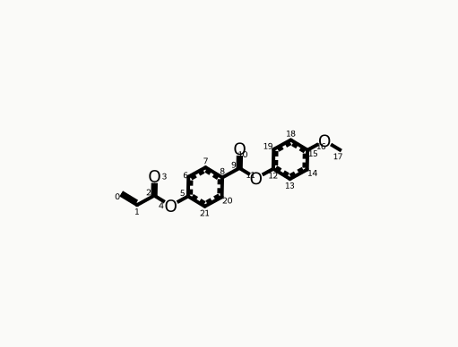 C=CC(=O)Oc1ccc(C(=O)Oc2ccc(OC)cc2)cc1